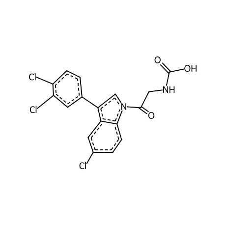 O=C(O)NCC(=O)n1cc(-c2ccc(Cl)c(Cl)c2)c2cc(Cl)ccc21